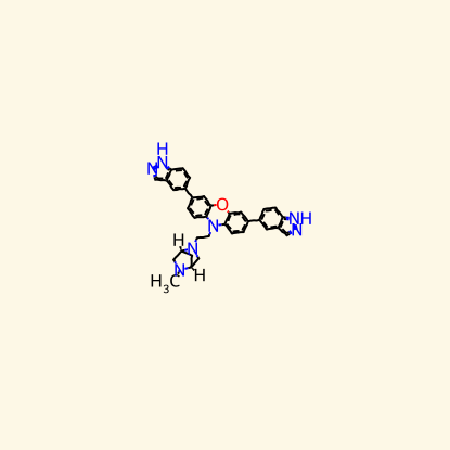 CN1C[C@H]2C[C@@H]1CN2CCN1c2ccc(-c3ccc4[nH]ncc4c3)cc2Oc2cc(-c3ccc4[nH]ncc4c3)ccc21